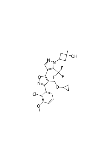 COc1cccc(-c2noc(-c3cnn(C4CC(C)(O)C4)c3C(F)(F)F)c2COC2CC2)c1Cl